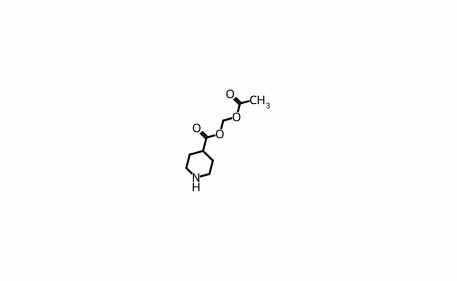 CC(=O)OCOC(=O)C1CCNCC1